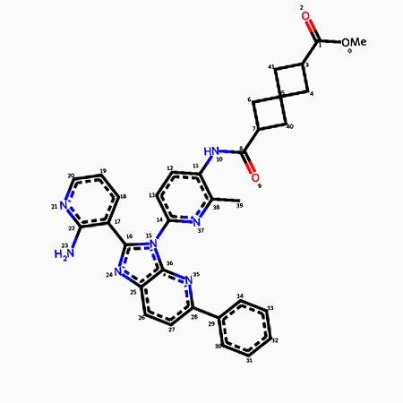 COC(=O)C1CC2(CC(C(=O)Nc3ccc(-n4c(-c5cccnc5N)nc5ccc(-c6ccccc6)nc54)nc3C)C2)C1